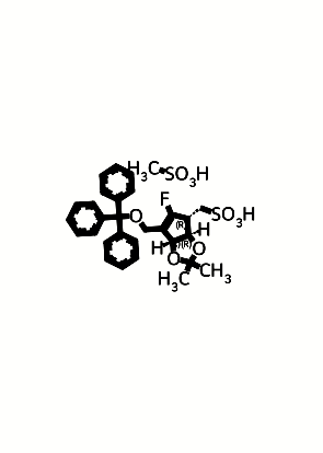 CC1(C)O[C@H]2[C@H](O1)C(COC(c1ccccc1)(c1ccccc1)c1ccccc1)=C(F)[C@@H]2CS(=O)(=O)O.CS(=O)(=O)O